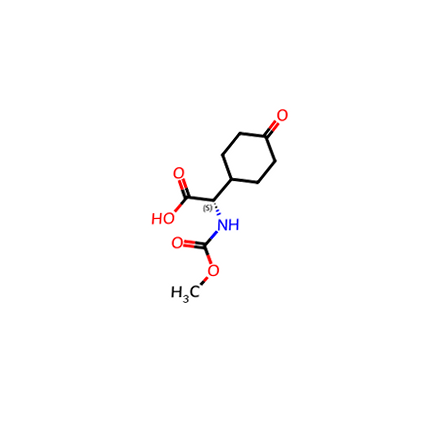 COC(=O)N[C@H](C(=O)O)C1CCC(=O)CC1